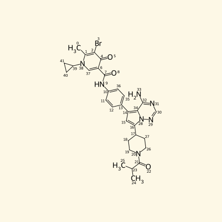 Cc1c(Br)c(=O)c(C(=O)Nc2ccc(-c3cc(C4CCN(C(=O)C(C)C)CC4)n4ncnc(N)c34)cc2)cn1C1CC1